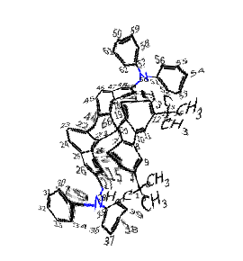 CC(C)(C)c1ccc2c(c1)-c1cc(C(C)(C)C)ccc1C21c2c(ccc3cc(N(c4ccccc4)c4ccccc4)ccc23)-c2ccc3cc(N(c4ccccc4)c4ccccc4)ccc3c21